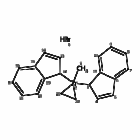 Br.[CH3][Zr]1([CH]2C=Cc3ccccc32)([CH]2C=Cc3ccccc32)[CH2][CH2]1